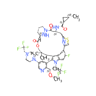 CO[C@@H](C)c1ncc(N2CCN(CC(F)(F)F)CC2)cc1-c1c2c3cc(c(F)cc3n1CC(F)(F)F)-c1csc(n1)C[C@H](NC(=O)[C@H]1C[C@@H]1C)C(=O)N1CCC[C@H](N1)C(=O)OCC(C)(C)C2